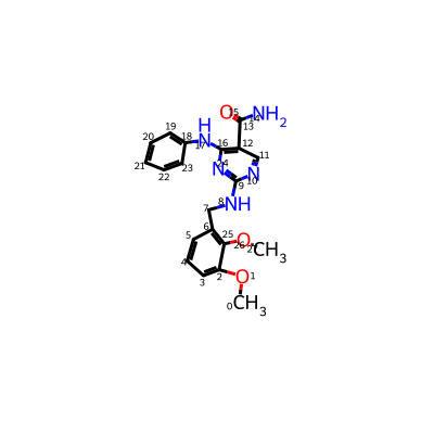 COc1cccc(CNc2ncc(C(N)=O)c(Nc3ccccc3)n2)c1OC